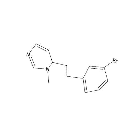 CN1C=NC=CC1CCc1cccc(Br)c1